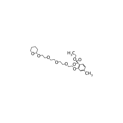 CCOS(=O)(=O)c1ccc(C)cc1OCCOCCOCCOCCOC1CCCCO1